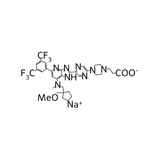 COCC1(CN(C)c2cc(-c3cc(C(F)(F)F)cc(C(F)(F)F)c3)nc3nc(-c4cnc(N5CCN(CCC(=O)[O-])CC5)cn4)[nH]c23)CCCC1.[Na+]